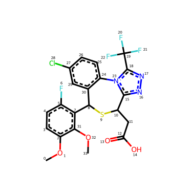 COc1ccc(F)c(C2SC(CC(=O)O)c3nnc(C(F)(F)F)n3-c3ccc(Cl)cc32)c1OC